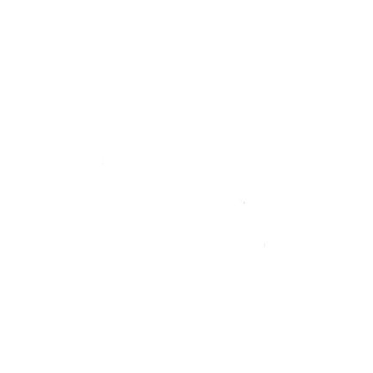 O=C(Nc1ccc2c(c1)C(S(=O)(=O)c1ccc(C(F)(F)F)cc1)CCC2)c1c(Cl)cccc1C(F)(F)F